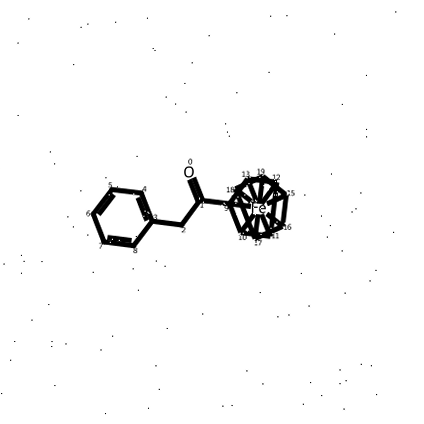 O=C(Cc1ccccc1)[C]12[CH]3[CH]4[CH]5[CH]1[Fe]45321678[CH]2[CH]1[CH]6[CH]7[CH]28